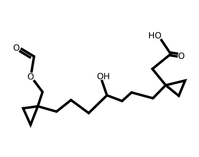 O=COCC1(CCCC(O)CCCC2(CC(=O)O)CC2)CC1